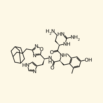 Cc1cc(O)cc(C)c1C[C@H](NC(=O)[C@@H](CCN)NC(=N)N)C(=O)N[C@@H](Cc1c[nH]cn1)c1nc(CC23CC4CC(CC(C4)C2)C3)no1